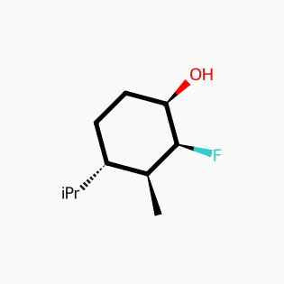 CC(C)[C@@H]1CC[C@@H](O)[C@@H](F)[C@H]1C